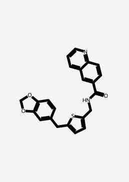 O=C(NCc1ccc(Cc2ccc3c(c2)OCO3)s1)c1ccc2ncccc2c1